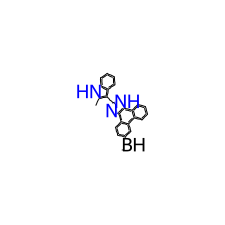 CBc1ccc2c(c1)c1ccccc1c1[nH]c(-c3c(C)[nH]c4ccccc34)nc21